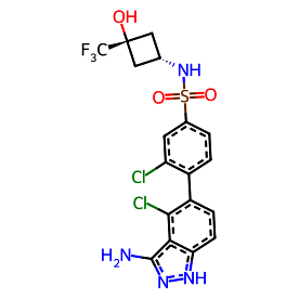 Nc1n[nH]c2ccc(-c3ccc(S(=O)(=O)N[C@H]4C[C@](O)(C(F)(F)F)C4)cc3Cl)c(Cl)c12